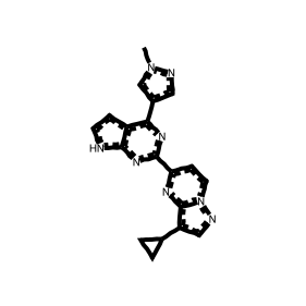 Cn1cc(-c2nc(-c3ccn4ncc(C5CC5)c4n3)nc3[nH]ccc23)cn1